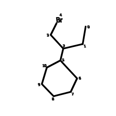 CCC(CBr)C1CCCCC1